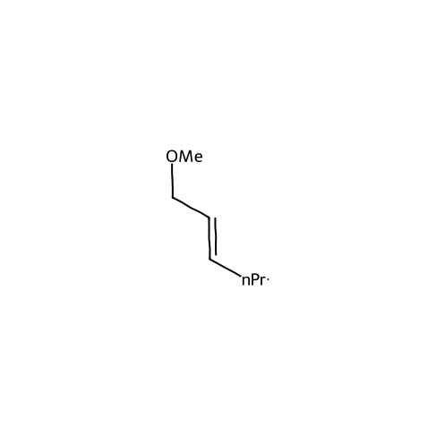 CC[CH]C=CCOC